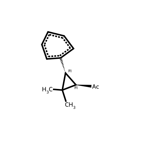 CC(=O)[C@@H]1[C@@H](c2ccccc2)C1(C)C